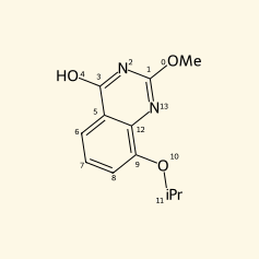 COc1nc(O)c2cccc(OC(C)C)c2n1